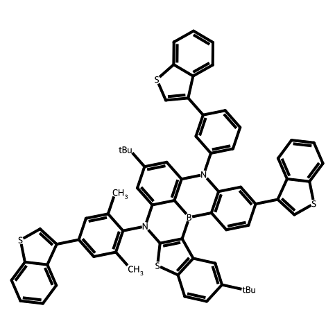 Cc1cc(-c2csc3ccccc23)cc(C)c1N1c2cc(C(C)(C)C)cc3c2B(c2ccc(-c4csc5ccccc45)cc2N3c2cccc(-c3csc4ccccc34)c2)c2c1sc1ccc(C(C)(C)C)cc21